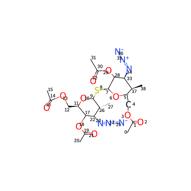 CC(=O)OCC1O[C@@H](SC2O[C@H](COC(C)=O)C(OC(C)=O)C(N=[N+]=[N-])[C@H]2C)C(OC(C)=O)[C@@H](N=[N+]=[N-])[C@H]1C